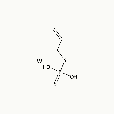 C=CCSP(O)(O)=S.[W]